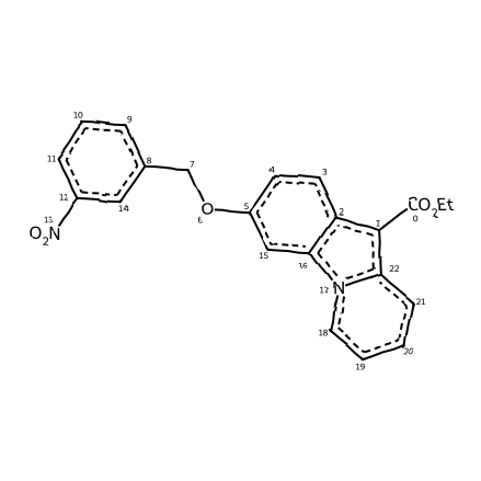 CCOC(=O)c1c2ccc(OCc3cccc([N+](=O)[O-])c3)cc2n2ccccc12